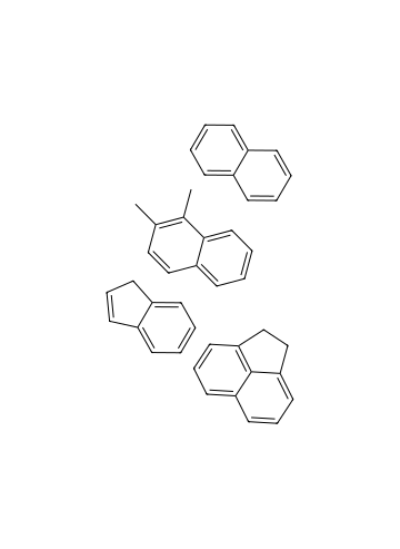 C1=Cc2ccccc2C1.Cc1ccc2ccccc2c1C.c1cc2c3c(cccc3c1)CC2.c1ccc2ccccc2c1